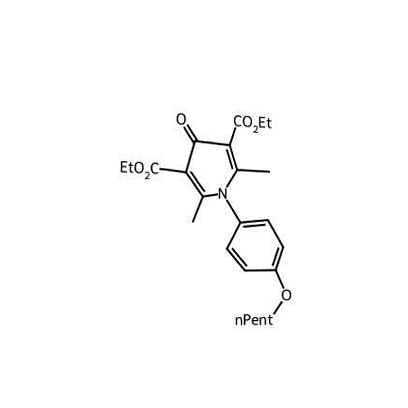 CCCCCOc1ccc(-n2c(C)c(C(=O)OCC)c(=O)c(C(=O)OCC)c2C)cc1